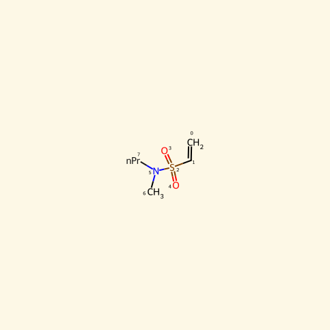 C=CS(=O)(=O)N(C)CCC